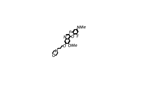 CNc1cc(F)c(Oc2ccnc3cc(OCCCN4CCOCC4)c(OC)cc23)c(F)c1